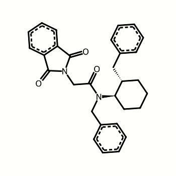 O=C1c2ccccc2C(=O)N1CC(=O)N(Cc1ccccc1)[C@@H]1CCCC[C@H]1Cc1ccccc1